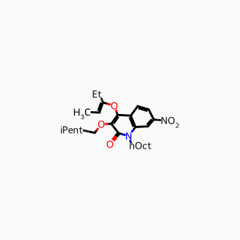 CC=C(CC)Oc1c(OCC(C)CCC)c(=O)n(CCCCCCCC)c2cc([N+](=O)[O-])ccc12